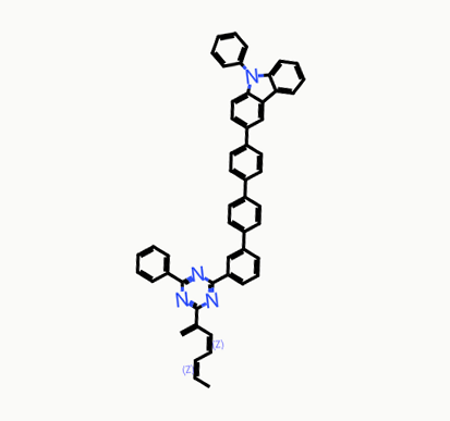 C=C(/C=C\C=C/C)c1nc(-c2ccccc2)nc(-c2cccc(-c3ccc(-c4ccc(-c5ccc6c(c5)c5ccccc5n6-c5ccccc5)cc4)cc3)c2)n1